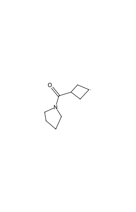 O=C(C1C[CH]C1)N1CCCC1